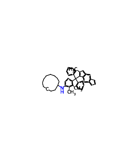 CC1=C(C(c2ccccc2)(c2ccccc2)c2ccc(NC3CCCCCCCCCCC3)c(C)c2C)c2cc3c(cc2=C1)C=CC=3